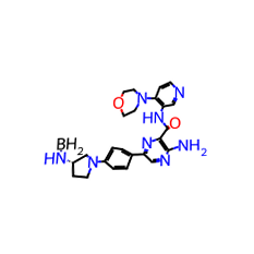 BN[C@H]1CCN(c2ccc(-c3cnc(N)c(C(=O)Nc4cnccc4N4CCOCC4)n3)cc2)C1